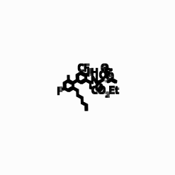 C=CCCCCc1cc(F)cc(C)c1-c1cc([C@H](CC(=O)OCC)NC(=O)[C@@H](CC=C)OS(C)(=O)=O)c(F)c(C(F)(F)F)c1